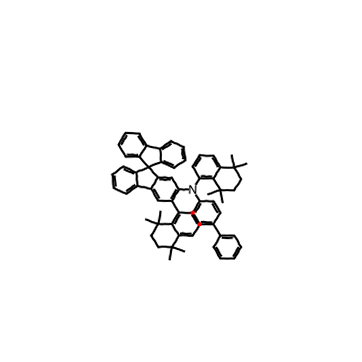 CC1(C)CCC(C)(C)c2c(-c3cc4c(cc3N(c3ccc(-c5ccccc5)cc3)c3cccc5c3C(C)(C)CCC5(C)C)C3(c5ccccc5-c5ccccc53)c3ccccc3-4)cccc21